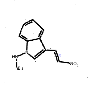 CCCCNn1cc(/C=C/[N+](=O)[O-])c2ccccc21